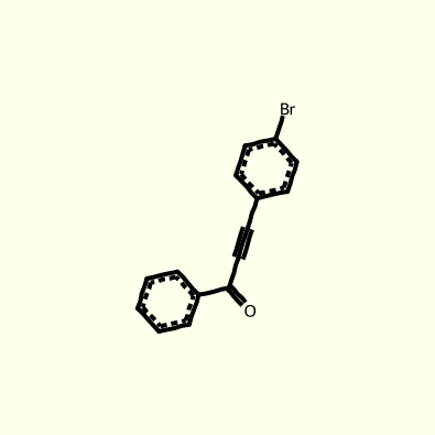 O=C(C#Cc1ccc(Br)cc1)c1ccccc1